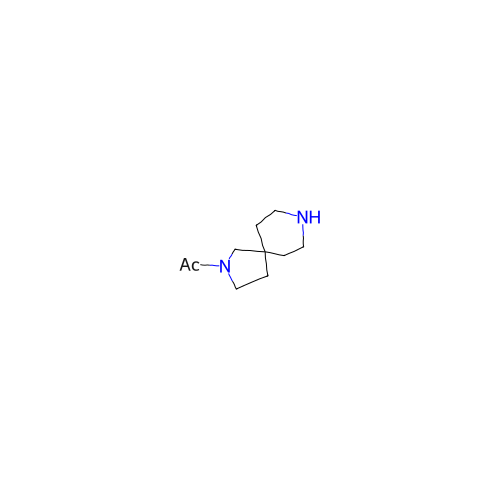 CC(=O)N1CCC2(CCNCC2)C1